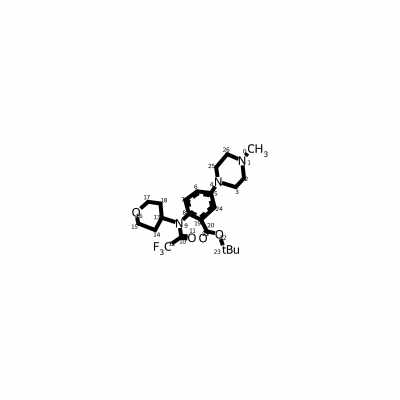 CN1CCN(c2ccc(N(C(=O)C(F)(F)F)C3CCOCC3)c(C(=O)OC(C)(C)C)c2)CC1